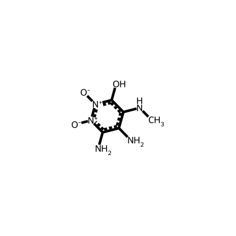 CNc1c(N)c(N)[n+]([O-])[n+]([O-])c1O